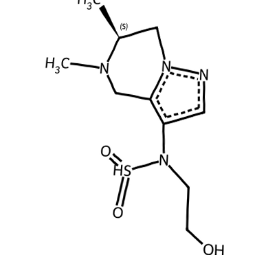 C[C@H]1Cn2ncc(N(CCO)[SH](=O)=O)c2CN1C